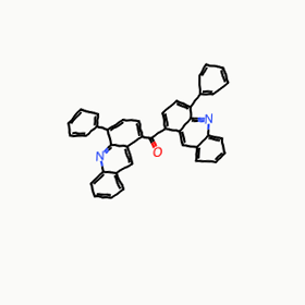 O=C(c1ccc(-c2ccccc2)c2nc3ccccc3cc12)c1ccc(-c2ccccc2)c2nc3ccccc3cc12